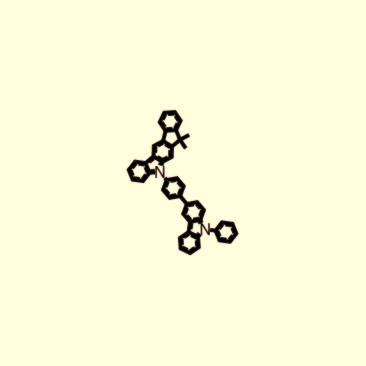 CC1(C)c2ccccc2-c2cc3c4ccccc4n(-c4ccc(-c5ccc6c(c5)c5ccccc5n6-c5ccccc5)cc4)c3cc21